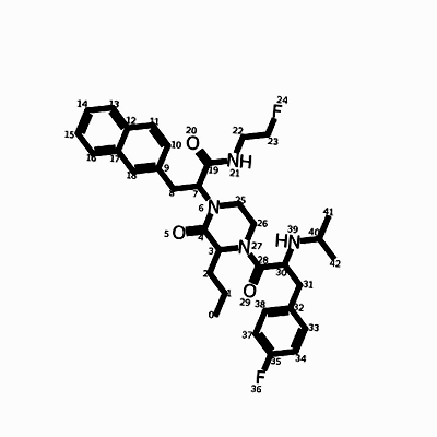 CCCC1C(=O)N(C(Cc2ccc3ccccc3c2)C(=O)NCCF)CCN1C(=O)C(Cc1ccc(F)cc1)NC(C)C